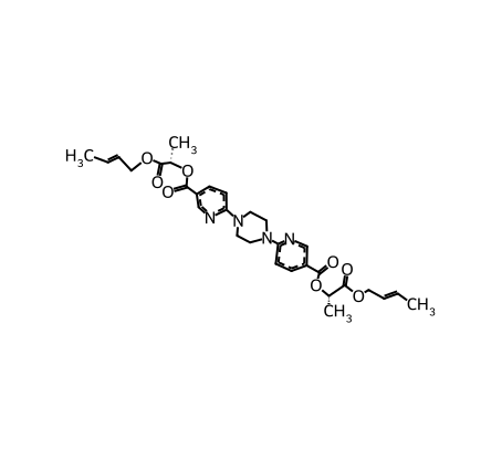 C/C=C/COC(=O)[C@H](C)OC(=O)c1ccc(N2CCN(c3ccc(C(=O)O[C@@H](C)C(=O)OC/C=C/C)cn3)CC2)nc1